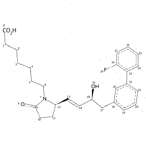 O=C(O)CCCCCCN1C(=O)CC[C@@H]1/C=C/[C@@H](O)Cc1cccc(-c2ccccc2F)c1